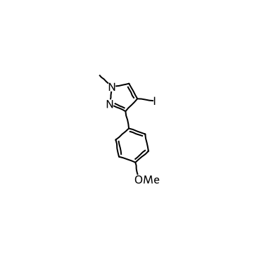 COc1ccc(-c2nn(C)cc2I)cc1